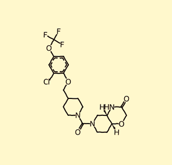 O=C1CO[C@@H]2CCN(C(=O)N3CCC(COc4ccc(OC(F)(F)F)cc4Cl)CC3)C[C@@H]2N1